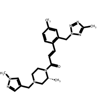 Cc1nnn(Cc2cc(C(F)(F)F)ccc2/C=C/C(=O)N2CCN(Cc3cnn(C)c3)C[C@H]2C)n1